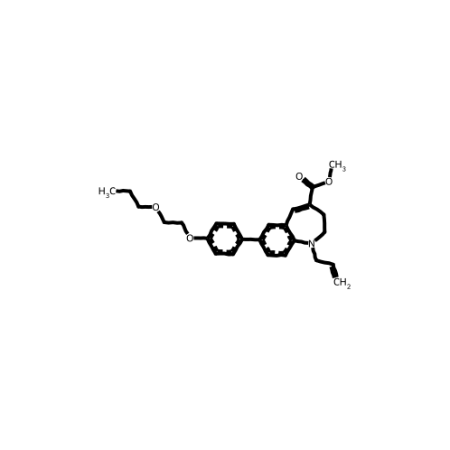 C=CCN1CCC(C(=O)OC)=Cc2cc(-c3ccc(OCCOCCC)cc3)ccc21